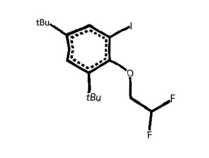 CC(C)(C)c1cc(I)c(OCC(F)F)c(C(C)(C)C)c1